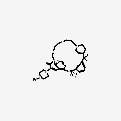 CC(C)N1CCN(c2cc3c4ncnc3n(c2=O)CCCCCCCN2CCC(CC2)C(F)(F)c2cccc(c2)[C@@H](C)N4)CC1